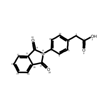 O=C(O)Cc1ccc(N2C(=O)c3ccccc3C2=O)cc1